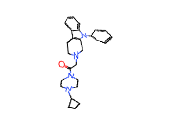 O=C(CN1CCc2c(n(-c3ccccc3)c3ccccc23)C1)N1CCN(C2CCC2)CC1